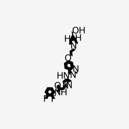 O=C(Cn1cc(Nc2ncnc3cc(OCCCN4C[C@@H]5[C@@H](CO)[C@@H]5C4)ccc23)cn1)Nc1cccc(F)c1F